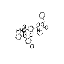 O=C(OCc1ccccc1)[C@@H]1CCCN1C(=O)c1ccc(S(=O)(=O)Nc2ccccc2Oc2ccc(Cl)cc2Cl)cc1